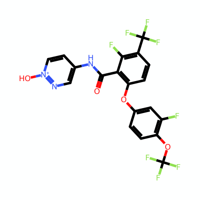 O=C(Nc1cc[n+](O)nc1)c1c(Oc2ccc(OC(F)(F)F)c(F)c2)ccc(C(F)(F)F)c1F